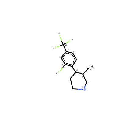 C[C@H]1CNCC[C@H]1c1ccc(C(F)(F)F)cc1F